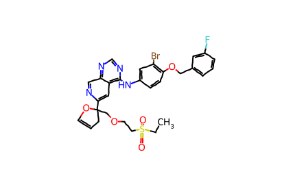 CCS(=O)(=O)CCOCC1(c2cc3c(Nc4ccc(OCc5cccc(F)c5)c(Br)c4)ncnc3cn2)CC=CO1